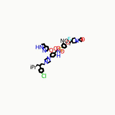 CC(C)C/C(=C/CN1CCN(c2ccc(C(=O)NS(=O)(=O)c3ccc(OCC4(F)CCN(C5COC5)CC4)c([N+](=O)[O-])c3)c(Oc3cnc4[nH]ccc4c3)c2)CC1)c1ccc(Cl)cc1